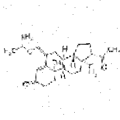 CC(=O)[C@H]1CC[C@H]2[C@@H]3C/C(=C/OC(C)N)C4=CC(=O)CC[C@]4(C)[C@H]3CC[C@]12C